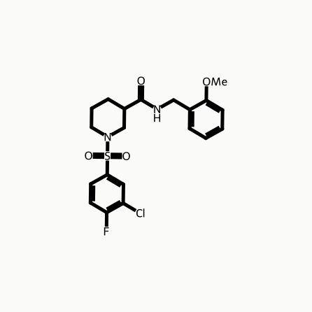 COc1ccccc1CNC(=O)C1CCCN(S(=O)(=O)c2ccc(F)c(Cl)c2)C1